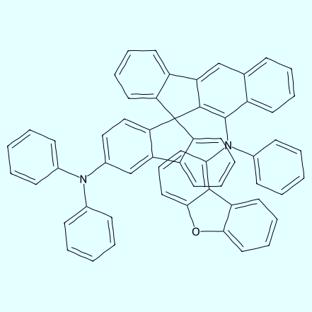 c1ccc(N(c2ccccc2)c2ccc3c(c2)-c2ccccc2C32c3ccccc3-c3cc4ccccc4c(N(c4ccccc4)c4cccc5oc6ccccc6c45)c32)cc1